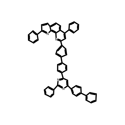 c1ccc(-c2ccc(-c3cc(-c4ccc(-c5ccc(-c6cc(-c7ccccc7)c7ccc8ccc(-c9ccccc9)nc8c7n6)cc5)cc4)nc(-c4ccccc4)n3)cc2)cc1